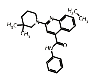 CC.CC1(C)CCCN(c2cc(C(=O)Nc3ccccc3)c3ccccc3n2)C1